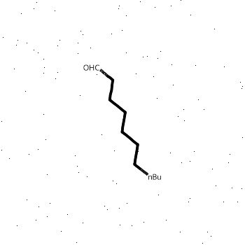 C[CH]CCCCCCCCC=O